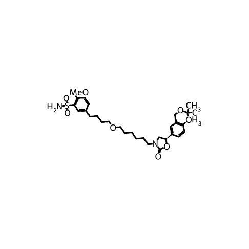 COc1ccc(CCCCOCCCCCCN2C[C@@H](c3ccc4c(c3)COC(C)(C)O4)OC2=O)cc1S(N)(=O)=O